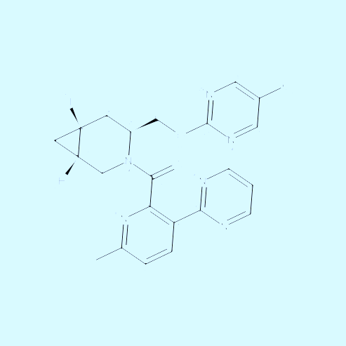 Cc1ccc(-c2ncccn2)c(C(=O)N2C[C@@H]3C[C@@H]3C[C@H]2COc2ncc(C(F)(F)F)cn2)n1